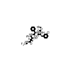 CC(C)[C@H](NC(=O)[C@@H](NC(=O)[C@H](Cc1cccc(Cl)c1)NC(=O)OC(C)(C)C)c1ccccc1)C(O)C(F)(F)C(=O)NCC(F)(F)F